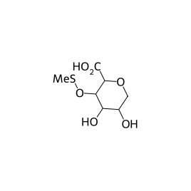 CSOC1C(C(=O)O)OCC(O)C1O